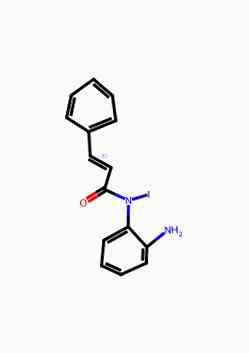 Nc1ccccc1N(I)C(=O)/C=C/c1ccccc1